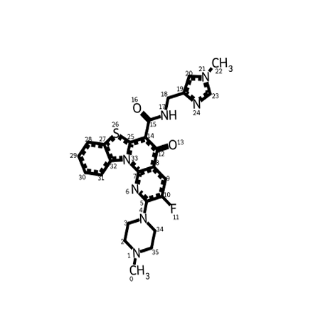 CN1CCN(c2nc3c(cc2F)c(=O)c(C(=O)NCc2cn(C)cn2)c2sc4ccccc4n23)CC1